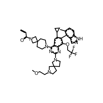 C=CC(=O)N1CC2(CCN(c3nc(N4CCC5(CCN(CCOC)C5)C4)nc4c(OCC(F)(F)F)c(-c5c(C)ccc6[nH]ncc56)c(C5CC5)cc34)CC2)C1